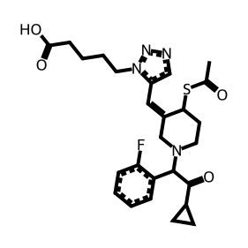 CC(=O)SC1CCN(C(C(=O)C2CC2)c2ccccc2F)CC1=Cc1cnnn1CCCCC(=O)O